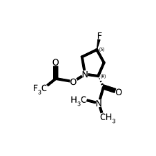 CN(C)C(=O)[C@H]1C[C@H](F)CN1OC(=O)C(F)(F)F